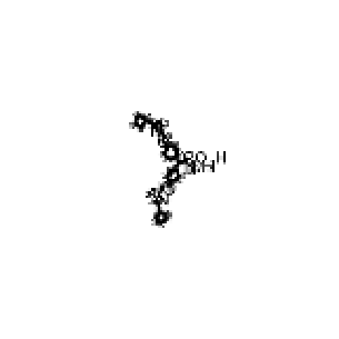 O=C(O)C(=NO)C(c1ccc(OCc2nc(-c3ccccc3)cs2)cc1)c1ccc(OCc2nc(-c3ccccc3)cs2)cc1